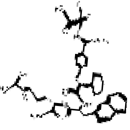 N=C(N)NCCC[C@H](NC(=O)[C@H](Cc1ccc2ccccc2c1)NC(=O)[C@H](Cc1ccc(C(=N)N)cc1)C1CCCCC1)C(N)=O.O=C(O)C(F)(F)F